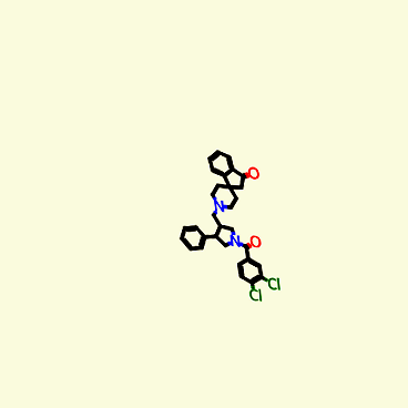 O=C1CC2(CCN(CC3CN(C(=O)c4ccc(Cl)c(Cl)c4)CC3c3ccccc3)CC2)c2ccccc21